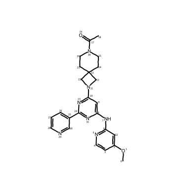 COc1ccnc(Nc2cc(N3CC4(CCN(C(C)=O)CC4)C3)nc(-c3cccnc3)n2)c1